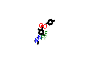 CCN(C)/C=N/c1cc(C)c(C(=O)OCc2ccc(C)cc2)cc1C(F)(F)F